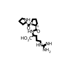 N=C(N)NCCC[C@H](NC(=O)[C@@H]1CCCN1C(=O)[C@@H]1CCCN1)C(=O)O